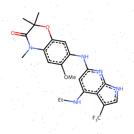 CCNc1cc(Nc2cc3c(cc2OC)N(C)C(=O)C(C)(C)O3)nc2[nH]cc(C(F)(F)F)c12